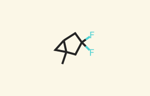 CC12CC1CC(F)(F)C2